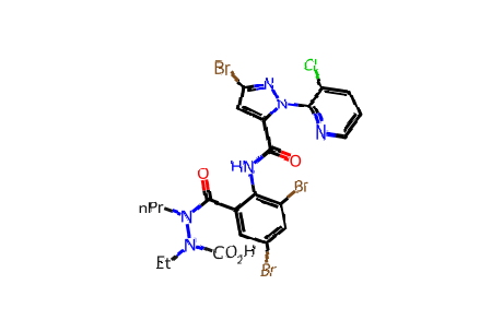 CCCN(C(=O)c1cc(Br)cc(Br)c1NC(=O)c1cc(Br)nn1-c1ncccc1Cl)N(CC)C(=O)O